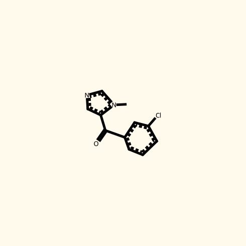 Cn1cncc1C(=O)c1cccc(Cl)c1